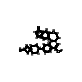 COC(=O)c1ccc(N2CCC3(CC2)CC(=O)C3)cc1N1CCCOc2nc3[nH]ccc3cc21